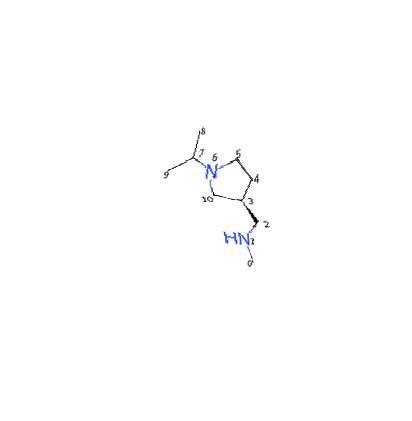 CNC[C@@H]1CCN(C(C)C)C1